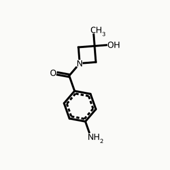 CC1(O)CN(C(=O)c2ccc(N)cc2)C1